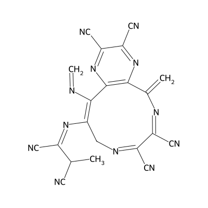 C=N/C1=C(\N=C(\C#N)C(C)C#N)C/N=C(C#N)\C(C#N)=N/C(=C)c2nc(C#N)c(C#N)nc21